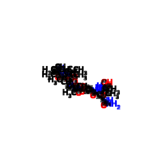 CC[C@H](C)[C@@H]([C@@H](CC(=O)N1CCCC1[C@H](OC)[C@@H](C)C(=O)NS(=O)(=O)c1ccc(NC(=O)C(CCCNC(N)=O)NC(=O)C(NC(=O)O)C(C)C)cc1)OC)N(C)C(=O)C(NC(=O)C(C(C)C)N(C)C)C(C)C